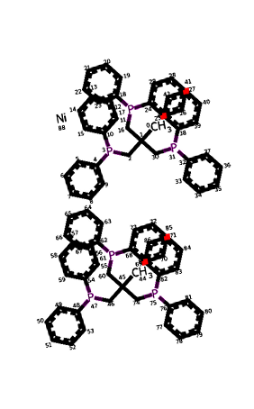 CC(CP(c1ccccc1)c1ccccc1)(CP(c1ccccc1)c1ccccc1)CP(c1ccccc1)c1ccccc1.CC(CP(c1ccccc1)c1ccccc1)(CP(c1ccccc1)c1ccccc1)CP(c1ccccc1)c1ccccc1.[Ni]